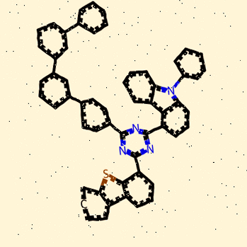 c1ccc(-c2cccc(-c3cccc(-c4ccc(-c5nc(-c6cccc7c6sc6ccccc67)nc(-c6cccc7c6c6ccccc6n7-c6ccccc6)n5)cc4)c3)c2)cc1